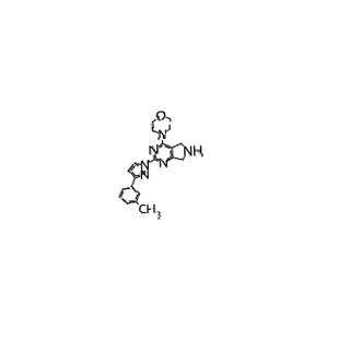 Cc1cccc(-c2ccn(-c3nc4c(c(N5CCOCC5)n3)CNC4)n2)c1